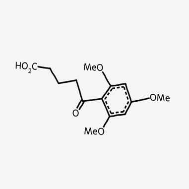 COc1cc(OC)c(C(=O)CCCC(=O)O)c(OC)c1